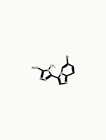 CSc1nnc(-c2cnc3ccc(Br)cn23)n1C